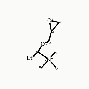 CCC(OCC1CO1)[N+](C)(C)C